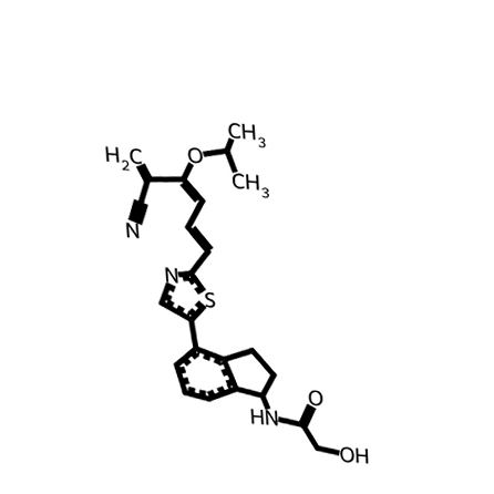 C=C(C#N)/C(=C\C=C\c1ncc(-c2cccc3c2CCC3NC(=O)CO)s1)OC(C)C